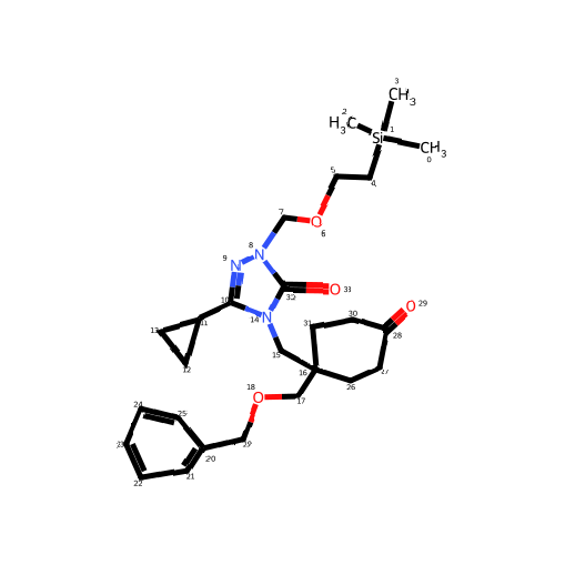 C[Si](C)(C)CCOCn1nc(C2CC2)n(CC2(COCc3ccccc3)CCC(=O)CC2)c1=O